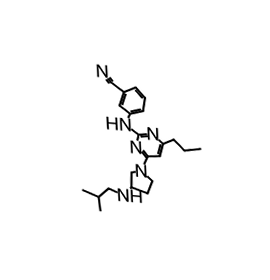 CCCc1cc(N2CC[C@H](NCC(C)C)C2)nc(Nc2cccc(C#N)c2)n1